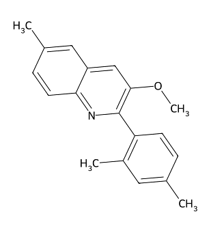 COc1cc2cc(C)ccc2nc1-c1ccc(C)cc1C